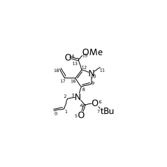 C=CCN(C(=O)OC(C)(C)C)c1cn(C)c(C(=O)OC)c1C=C